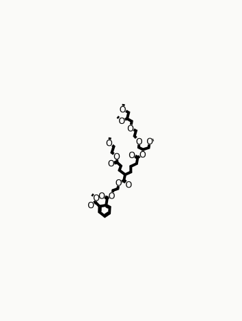 COCCOC(=O)CCC(CCCC(=O)OC(COC)COCCOCC(COC)OC)C(=O)OCCOC(=O)c1ccccc1C(=O)OC